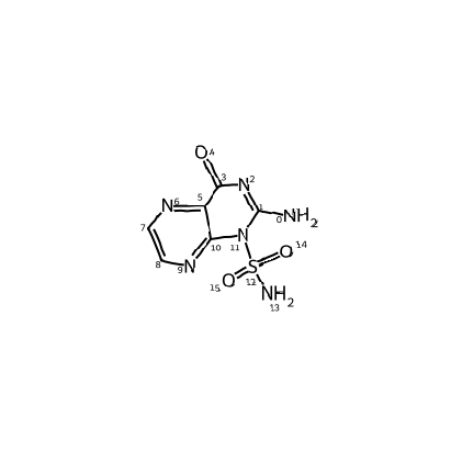 Nc1nc(=O)c2nccnc2n1S(N)(=O)=O